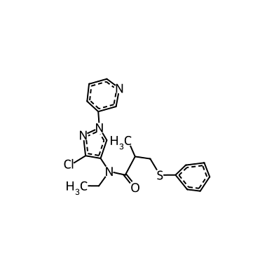 CCN(C(=O)C(C)CSc1ccccc1)c1cn(-c2cccnc2)nc1Cl